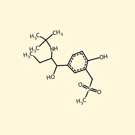 CCC(NC(C)(C)C)C(O)c1ccc(O)c(CS(C)(=O)=O)c1